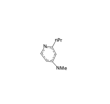 CCCc1cc(NC)ccn1